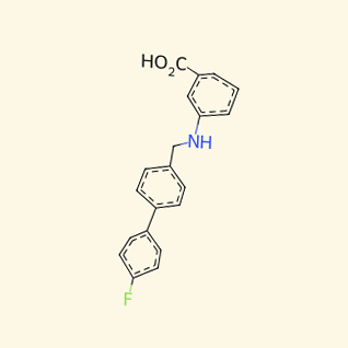 O=C(O)c1cccc(NCc2ccc(-c3ccc(F)cc3)cc2)c1